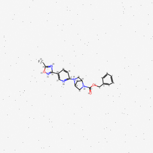 O=C(OCc1ccccc1)N1CC2CC1CN2c1ccc(-c2noc(C(F)(F)F)n2)cn1